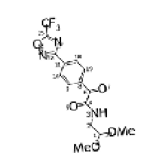 COC(CNC(=O)C(=O)c1ccc(-c2noc(C(F)(F)F)n2)cc1)OC